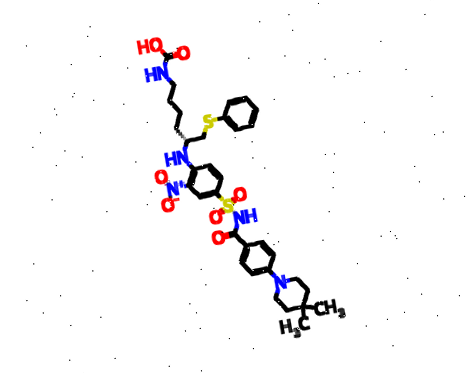 CC1(C)CCN(c2ccc(C(=O)NS(=O)(=O)c3ccc(N[C@H](CCCCNC(=O)O)CSc4ccccc4)c([N+](=O)[O-])c3)cc2)CC1